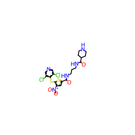 O=C(NCCCNC(=O)C1CCNCC1)c1cc([N+](=O)[O-])c(Sc2c(Cl)cncc2Cl)s1